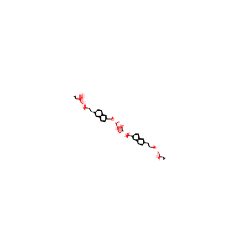 C=CC(=O)COC(=O)/C=C/c1ccc2cc(C(=O)O[C@H]3COC4C3OC[C@H]4OC(=O)c3ccc4cc(/C=C/C(=O)OCC(=O)C=C)ccc4c3)ccc2c1